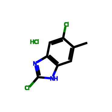 Cc1cc2[nH]c(Cl)nc2cc1Cl.Cl